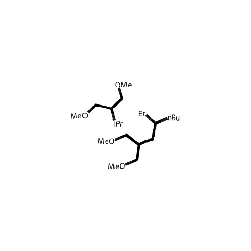 CCCCC(CC)CC(COC)COC.COCC(COC)C(C)C